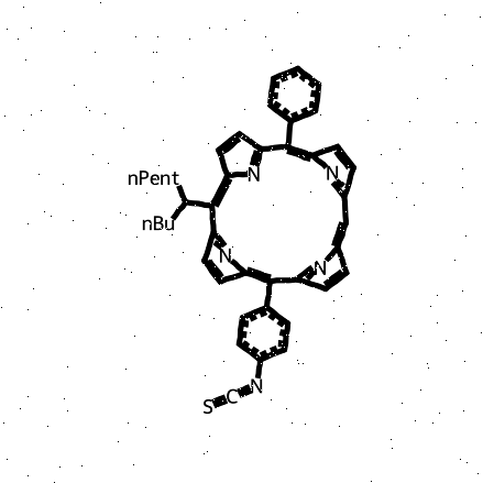 CCCCCC(CCCC)C1=C2C=CC(=N2)C(c2ccccc2)=C2C=CC(=N2)C=C2C=CC(=N2)C(c2ccc(N=C=S)cc2)=C2C=CC1=N2